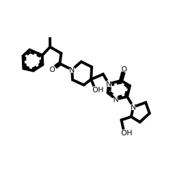 CC(CC(=O)N1CCC(O)(Cn2cnc(N3CCCC3CO)cc2=O)CC1)c1ccccc1